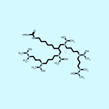 CCCCCCC(=O)NCCCCCCC(CN(CCCCN(CCCN(C)B(C)O)B(C)O)B(C)O)CN(CCCCN(CCCN(C)B(C)O)B(C)O)B(C)O